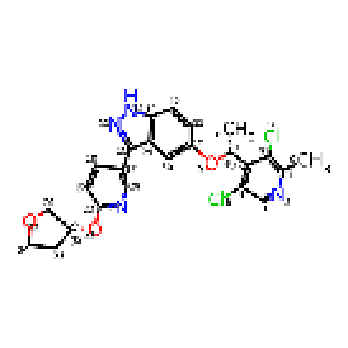 Cc1ncc(Cl)c([C@@H](C)Oc2ccc3[nH]nc(-c4ccc(O[C@@H]5CCOC5)nc4)c3c2)c1Cl